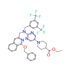 CCOC(=O)C1CCN(c2cnc(N(Cc3cc(C(F)(F)F)cc(C(F)(F)F)c3)Cc3cc4ccccc4c(OCc4ccccc4)n3)nc2)CC1